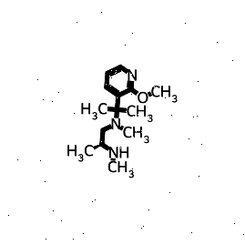 CN[C@@H](C)CN(C)C(C)(C)c1cccnc1OC